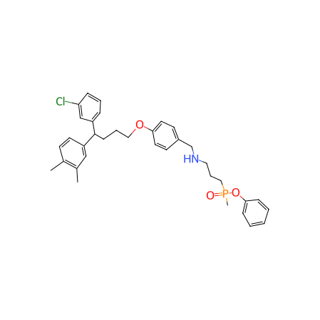 Cc1ccc(C(CCCOc2ccc(CNCCCP(C)(=O)Oc3ccccc3)cc2)c2cccc(Cl)c2)cc1C